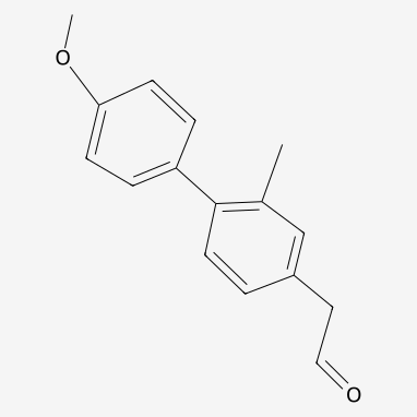 COc1ccc(-c2ccc(CC=O)cc2C)cc1